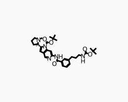 CN1CCC[C@@H]1c1cc2cnc(NC(=O)c3cccc(CCCNC(=O)OC(C)(C)C)c3)cc2n1C(=O)OC(C)(C)C